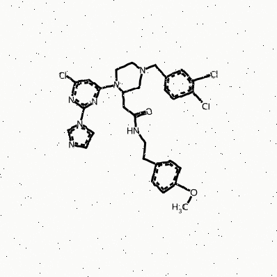 COc1ccc(CCNC(=O)CC2CN(Cc3ccc(Cl)c(Cl)c3)CCN2c2cc(Cl)nc(-n3ccnc3)n2)cc1